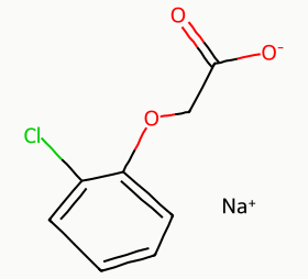 O=C([O-])COc1ccccc1Cl.[Na+]